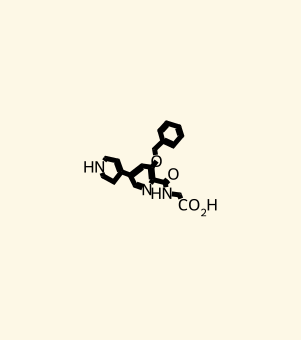 O=C(O)CNC(=O)c1ncc(C2=CCNCC2)cc1OCc1ccccc1